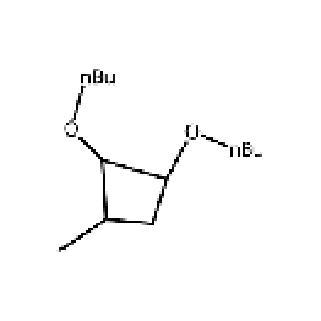 CCCCOC1CC(C)C1OCCCC